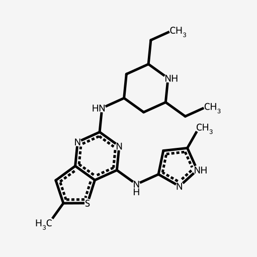 CCC1CC(Nc2nc(Nc3cc(C)[nH]n3)c3sc(C)cc3n2)CC(CC)N1